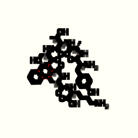 C[C@H](NC(=O)[C@@H](N)Cc1ccc(O)cc1)C(=O)N[C@H](C(=O)N[C@@H](CO)C(=O)N[C@@H](Cc1ccccc1)C(=O)N[C@@H](Cc1ccccc1)C(=O)N[C@@H](CCCCN)C(=O)O)[C@@H](C)O